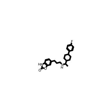 CC(NCCCc1ccc2[nH]c(=O)oc2c1)C1CCC(c2ccc(F)cc2)CC1